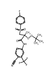 CC(C)(C)OOC(C)(CS(=O)(=S)c1ccc(F)cc1)C(=O)Nc1ccc(C#N)c(C(F)(F)F)c1